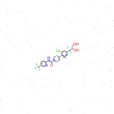 O=C(Nc1ccc(C(F)(F)F)cn1)N1CC=C(c2ncc(C(F)(F)C(O)CO)cc2Cl)CC1